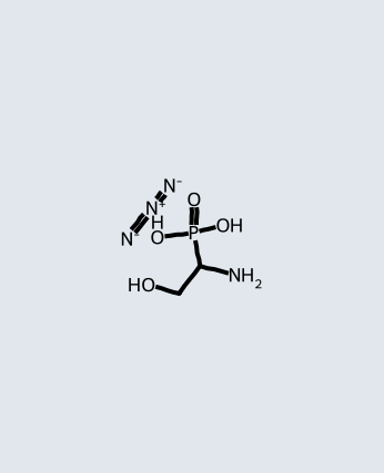 NC(CO)P(=O)(O)O.[N-]=[N+]=[N-]